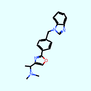 CC(c1coc(-c2ccc(Cn3cnc4ccccc43)cc2)n1)N(C)C